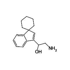 NCC(O)C1=CC2(CCCCC2)c2ccccc21